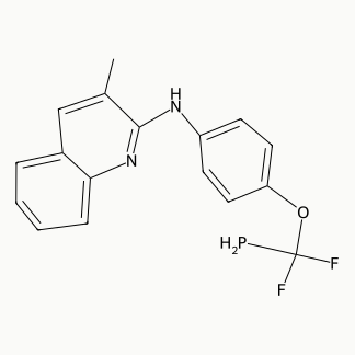 Cc1cc2ccccc2nc1Nc1ccc(OC(F)(F)P)cc1